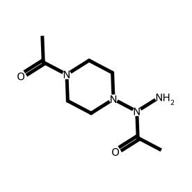 CC(=O)N1CCN(N(N)C(C)=O)CC1